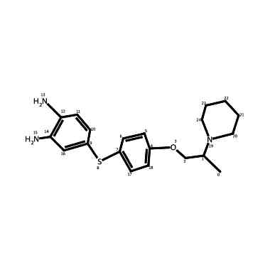 CC(COc1ccc(Sc2ccc(N)c(N)c2)cc1)N1CCCCC1